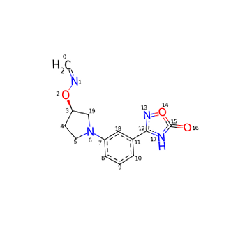 C=NO[C@@H]1CCN(c2cccc(-c3noc(=O)[nH]3)c2)C1